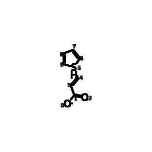 [O]C(=O)C=C[SH]1C=CC=C1